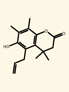 C=CCc1c(O)c(C)c(C)c2c1C(C)(C)CC(=O)O2